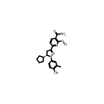 CCOc1nc(C2=NN(c3ccc(C#N)c(C)c3)[C@@H](C3CCCC3)C2)ccc1C(N)=O